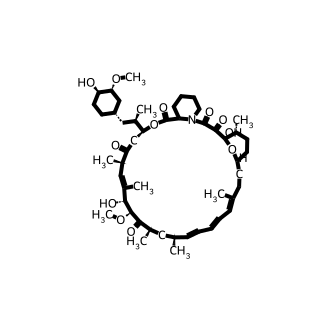 CO[C@@H]1C[C@H](C[C@@H](C)[C@@H]2CC(=O)[C@H](C)/C=C(\C)[C@@H](O)[C@@H](OC)C(=O)[C@H](C)C[C@H](C)/C=C/C=C/C=C(\C)CC[C@@H]3CC[C@@H](C)[C@@](O)(O3)C(=O)C(=O)N3CCCCC3C(=O)O2)CC[C@H]1O